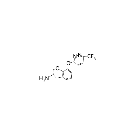 NC1COc2c(cccc2Oc2ccc(C(F)(F)F)nn2)C1